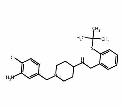 CC(C)(C)Sc1ccccc1CNC1CCN(Cc2ccc(Cl)c(N)c2)CC1